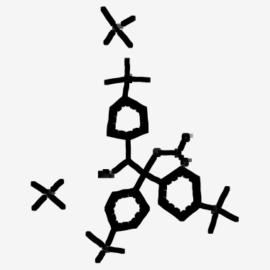 CCCCC(c1ccc([Si](C)(C)C)cc1)C(OB([O-])[O-])(c1ccc([Si](C)(C)C)cc1)c1ccc([Si](C)(C)C)cc1.C[N+](C)(C)C.C[N+](C)(C)C